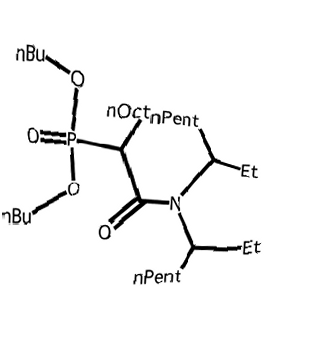 CCCCCCCCC(C(=O)N(C(CC)CCCCC)C(CC)CCCCC)P(=O)(OCCCC)OCCCC